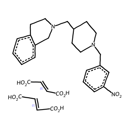 O=C(O)/C=C/C(=O)O.O=C(O)/C=C/C(=O)O.O=[N+]([O-])c1cccc(CN2CCC(CN3CCc4ccccc4C3)CC2)c1